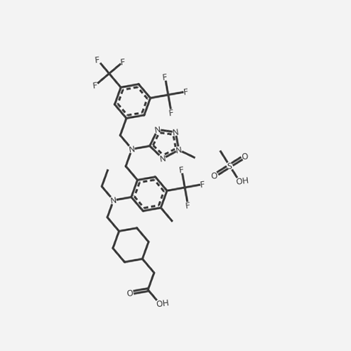 CCN(CC1CCC(CC(=O)O)CC1)c1cc(C)c(C(F)(F)F)cc1CN(Cc1cc(C(F)(F)F)cc(C(F)(F)F)c1)c1nnn(C)n1.CS(=O)(=O)O